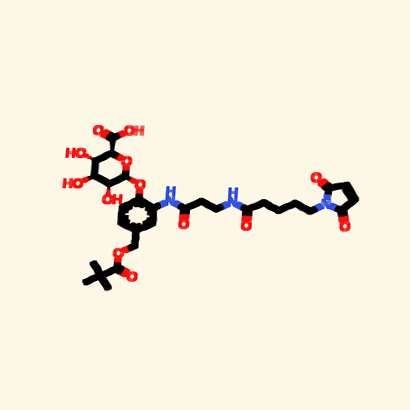 CC(C)(C)C(=O)OCc1ccc(O[C@@H]2O[C@H](C(=O)O)[C@@H](O)[C@H](O)[C@H]2O)c(NC(=O)CCNC(=O)CCCCN2C(=O)C=CC2=O)c1